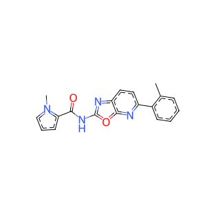 Cc1ccccc1-c1ccc2nc(NC(=O)c3cccn3C)oc2n1